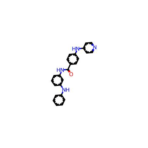 O=C(Nc1cccc(Nc2ccccc2)c1)c1ccc(Nc2ccncc2)cc1